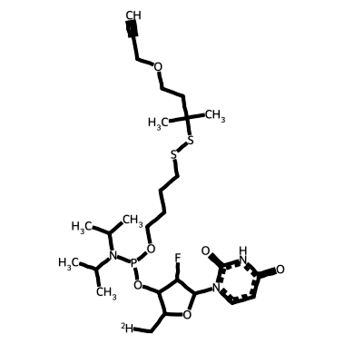 [2H]CC1OC(n2ccc(=O)[nH]c2=O)C(F)C1OP(OCCCCSSC(C)(C)CCOCC#C)N(C(C)C)C(C)C